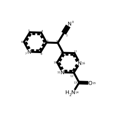 N#CC(c1cccnc1)c1cnc(C(N)=O)nc1